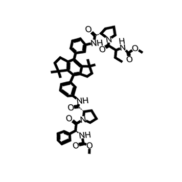 CCC(NC(=O)OC)C(=O)N1CCC[C@H]1C(=O)Nc1cccc(-c2c3c(c(-c4cccc(NC(=O)[C@@H]5CCCN5C(=O)[C@H](NC(=O)OC)c5ccccc5)c4)c4c2C(C)(C)CC4)C(C)(C)CC3)c1